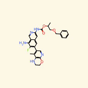 Cc1c(-c2cc3cc(NC(=O)OC(C)COCc4ccccc4)ncc3c(N)c2F)cnc2c1NCCO2